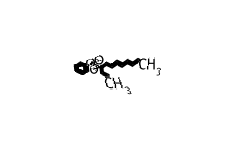 CCCCCCCCC(CCC)S(=O)(=O)Oc1ccccc1